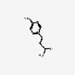 COc1ccc(CCC(C)Br)cc1